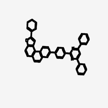 C1=CC(c2cc3c(ccc4ccc5cc(-c6ccc(-c7nc(-c8ccccc8)cc(-c8ccccc8)n7)cc6)ccc5c43)o2)=CCC1